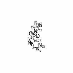 C[C@H]1Cn2ncc(S(=O)(=O)N3CC(F)(F)C3)c2CN1C